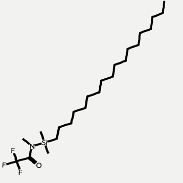 CCCCCCCCCCCCCCCCCC[Si](C)(C)N(C)C(=O)C(F)(F)F